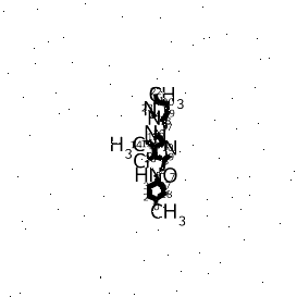 Cc1ccc(NC(=O)c2cnc3c(c(C)nn3Cc3ccc(C)nn3)c2Cl)cc1